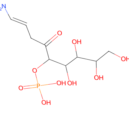 NC=CCC(=O)C(OP(=O)(O)O)C(O)C(O)C(O)CO